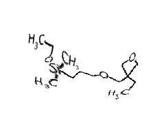 CCO[Si](C)(C)CCCOCC1(CC)COC1